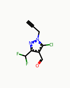 C#CCn1nc(C(F)F)c(C=O)c1Cl